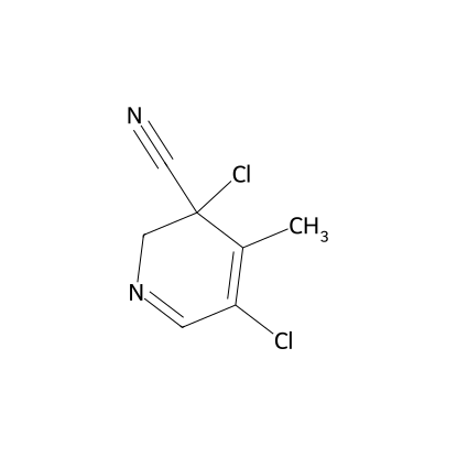 CC1=C(Cl)C=NCC1(Cl)C#N